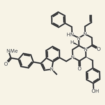 C=CCN1CC(=O)N2[C@@H](Cc3ccc(O)cc3)C(=O)N(Cc3cccc4c(-c5ccc(C(=O)NC)cc5)cn(C)c34)C[C@@H]2N1NCc1ccccc1